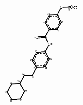 CCCCCCCCOc1ccc(C(=O)Oc2ccc(CCC3CC[CH]CC3)cc2)cc1